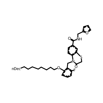 CCCCCCCCCCCCCCCCCCOc1cccc(F)c1CN1C(=O)CSc2cc(C(=O)NCc3ccco3)ccc21